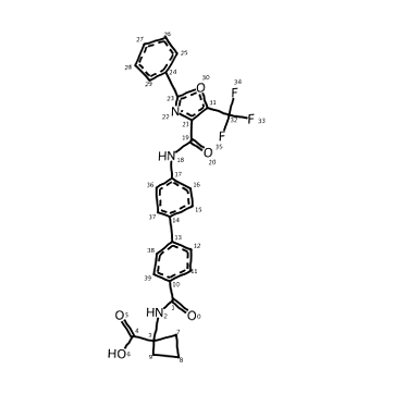 O=C(NC1(C(=O)O)CCC1)c1ccc(-c2ccc(NC(=O)c3nc(-c4ccccc4)oc3C(F)(F)F)cc2)cc1